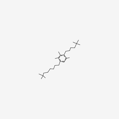 Cc1cc(CCCCCCC(C)(C)C)c(C)c(C)c1CCCCC(C)(C)C